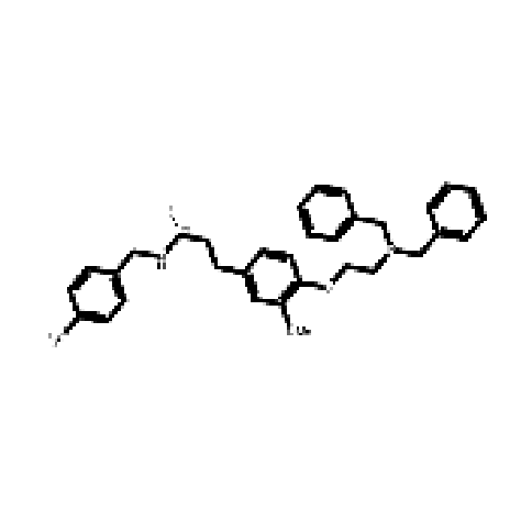 COc1cc(CC[C@@H](C)NCc2ccc(C(F)(F)F)cc2)ccc1OCCN(Cc1ccccc1)Cc1ccccc1